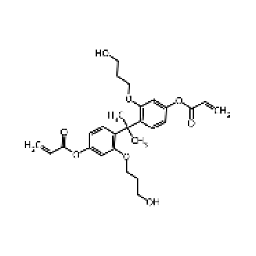 C=CC(=O)Oc1ccc(C(C)(C)c2ccc(OC(=O)C=C)cc2OCCCO)c(OCCCO)c1